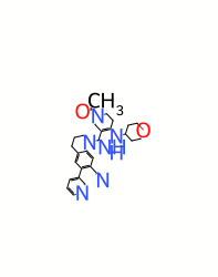 CC(=O)N1CCC(NC2CCOCC2)=C(C(=N)N2CCCc3cc(-c4cccnc4)c(C#N)cc32)C1